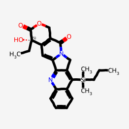 CCC[Si](C)(C)c1c2c(nc3ccccc13)-c1cc3c(c(=O)n1C2)COC(=O)[C@]3(O)CC